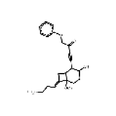 COC12CCC(O)C(C#CC(=O)COc3ccccc3)C1CC2=CCCC(=O)O